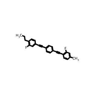 CCCc1ccc(C#Cc2ccc(C#Cc3ccc(C)cc3F)cc2)cc1F